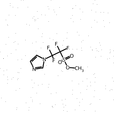 COS(=O)(=O)C(F)(F)C(F)(F)n1ccnc1